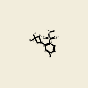 COS(=O)(=O)c1ccc(C)cc1C1CC(C)(C)C1